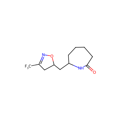 O=C1CCCCC(CC2CC(C(F)(F)F)=NO2)N1